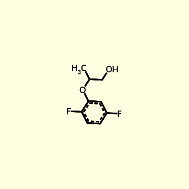 CC(CO)Oc1cc(F)ccc1F